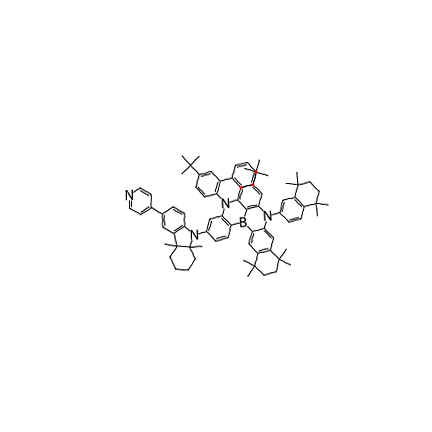 CC(C)(C)c1ccc(N2c3cc(N4c5ccc(-c6ccncc6)cc5C5(C)CCCCC45C)ccc3B3c4cc5c(cc4N(c4ccc6c(c4)C(C)(C)CCC6(C)C)c4cc(C(C)(C)C)cc2c43)C(C)(C)CCC5(C)C)c(-c2ccccc2)c1